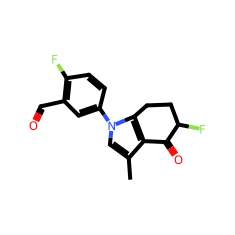 Cc1cn(-c2ccc(F)c(C=O)c2)c2c1C(=O)C(F)CC2